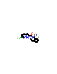 O=C(c1cc2ccc(Br)cn2n1)N1CCc2ccccc2C1C(F)(F)F